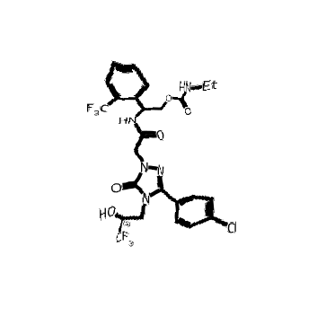 CCNC(=O)OCC(NC(=O)Cn1nc(-c2ccc(Cl)cc2)n(C[C@H](O)C(F)(F)F)c1=O)c1ccccc1C(F)(F)F